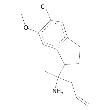 C=CCC(C)(N)C1CCc2cc(Cl)c(OC)cc21